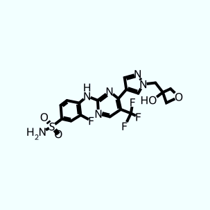 NS(=O)(=O)c1ccc(Nc2ncc(C(F)(F)F)c(-c3cnn(CC4(O)COC4)c3)n2)c(F)c1